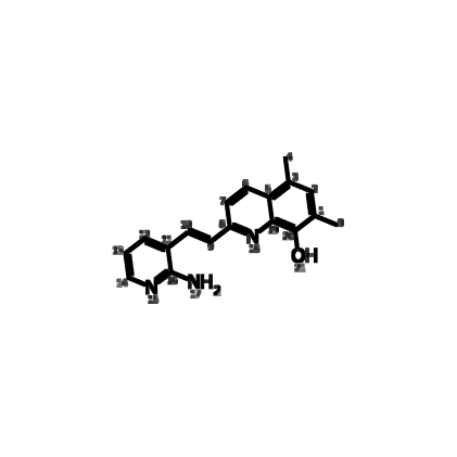 Cc1cc(C)c2ccc(C=Cc3cccnc3N)nc2c1O